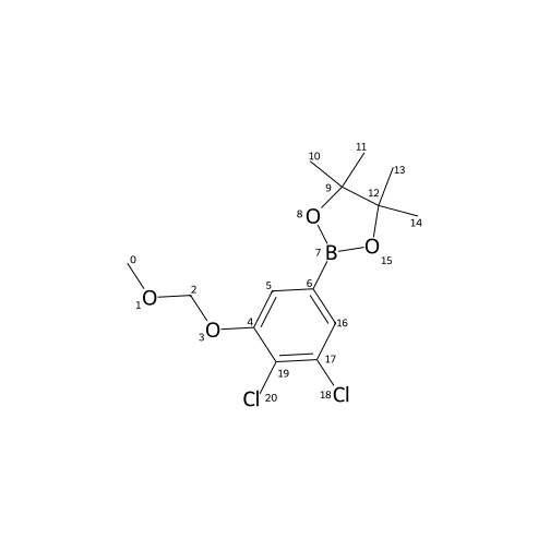 COCOc1cc(B2OC(C)(C)C(C)(C)O2)cc(Cl)c1Cl